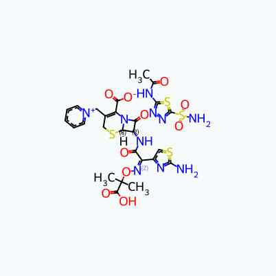 CC(=O)Nc1nnc(S(N)(=O)=O)s1.CC(C)(O/N=C(\C(=O)N[C@@H]1C(=O)N2C(C(=O)[O-])=C(C[n+]3ccccc3)CS[C@H]12)c1csc(N)n1)C(=O)O